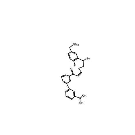 CCCC(CC/C=C\C(=O)c1cccc(-c2cccc(B(O)O)c2)c1)c1cc(CNC)ccc1F